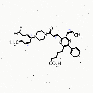 C=C/C=C\C(=C/CC(F)F)N1CCN(C(=O)/C=C/c2nc(CCCCC(=O)O)c(C3=CCCC=C3)nc2/C=C\C)CC1